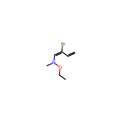 C=C/C(Br)=C\N(C)OCC